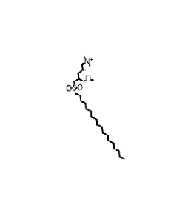 CCCCCCCCCCCCCCCCCCS(=O)(=O)CC(C[CH]C[N+](C)(C)C)COC